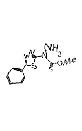 COC(=S)N(N)c1nnc(-c2ccccc2)s1